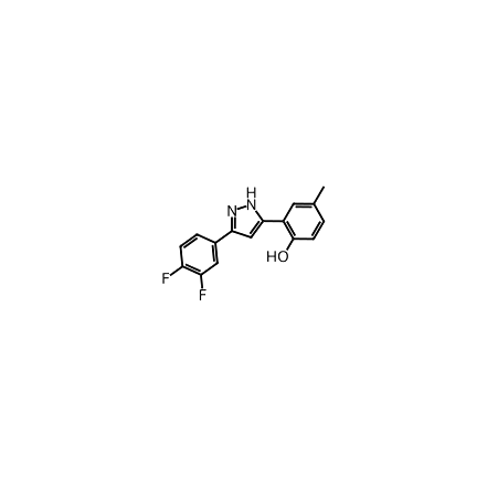 Cc1ccc(O)c(-c2cc(-c3ccc(F)c(F)c3)n[nH]2)c1